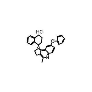 Cc1nc2ccc(Oc3ccccc3)cc2c2c1CCN2C1CCCc2ccccc21.Cl